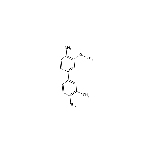 COc1cc(-c2ccc(N)c(C)c2)ccc1N